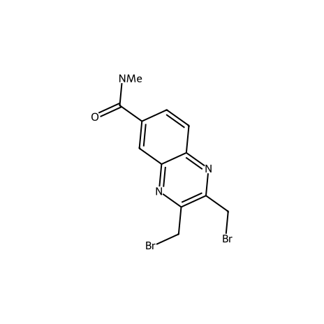 CNC(=O)c1ccc2nc(CBr)c(CBr)nc2c1